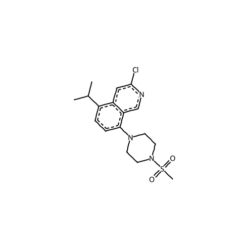 CC(C)c1ccc(N2CCN(S(C)(=O)=O)CC2)c2cnc(Cl)cc12